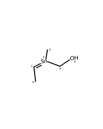 C[CH]=[Sn]([CH3])[CH2]O